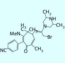 CNC1=C(c2ccc(C#N)cc2)C(=O)C(C)=CC(/C=C(\CBr)N2CC(C)NC(C)C2)C1(C)C